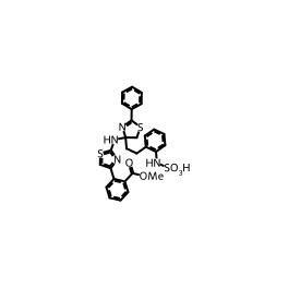 COC(=O)c1ccccc1-c1csc(NC2(CCc3ccccc3NS(=O)(=O)O)CSC(c3ccccc3)=N2)n1